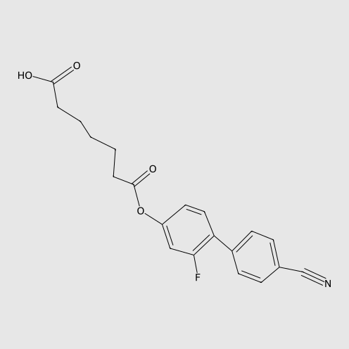 N#Cc1ccc(-c2ccc(OC(=O)CCCCCC(=O)O)cc2F)cc1